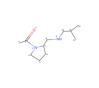 CC(=O)N1CCCC1CNCC(C)C